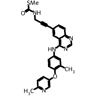 CSC(=O)NCC#Cc1ccc2ncnc(Nc3ccc(Oc4ccc(C)nc4)c(C)c3)c2c1